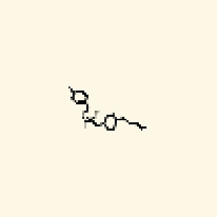 CC=CCCC1CCC(CC(F)(F)OCc2ccc(C)cc2)CC1